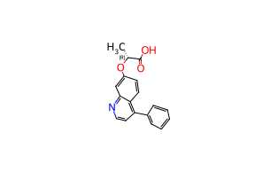 C[C@@H](Oc1ccc2c(-c3ccccc3)ccnc2c1)C(=O)O